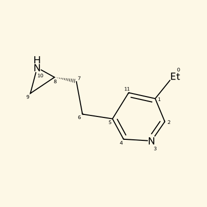 CCc1cncc(CC[C@@H]2CN2)c1